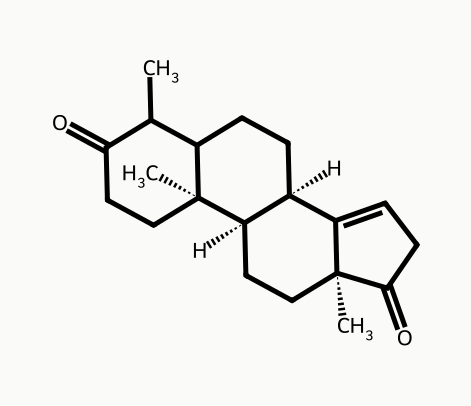 CC1C(=O)CC[C@@]2(C)C1CC[C@H]1C3=CCC(=O)[C@@]3(C)CC[C@H]12